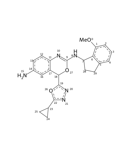 COc1cccc2c1C(NC1=Nc3ccc(N)cc3C(c3nnc(C4CC4)o3)O1)CC2